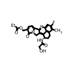 CCC(=O)OCc1ccc2n(c1=O)Cc1c-2nc2cc(F)c(C)c3c2c1[C@@H](NC(=O)CO)CC3